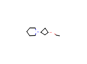 CCO[C@H]1C[C@@H](N2CCCCC2)C1